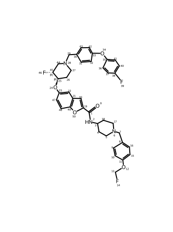 O=C(NC1CCN(Cc2ccc(OCF)cc2)CC1)c1cc2cc(O[C@@H]3CCN(Cc4ccc(Oc5ccc(F)cc5)cc4)C[C@H]3F)ccc2o1